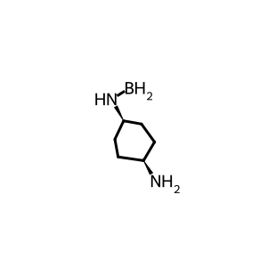 BN[C@H]1CC[C@@H](N)CC1